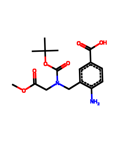 COC(=O)CN(Cc1cc(C(=O)O)ccc1N)C(=O)OC(C)(C)C